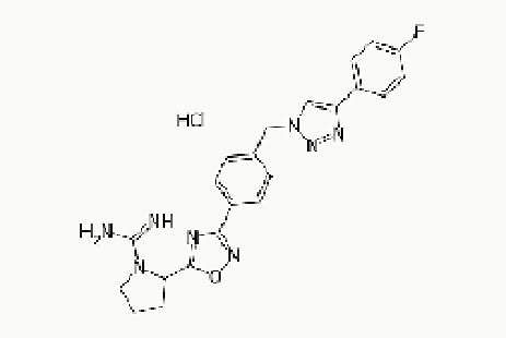 Cl.N=C(N)N1CCCC1c1nc(-c2ccc(Cn3cc(-c4ccc(F)cc4)nn3)cc2)no1